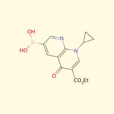 CCOC(=O)c1cn(C2CC2)c2ncc(B(O)O)cc2c1=O